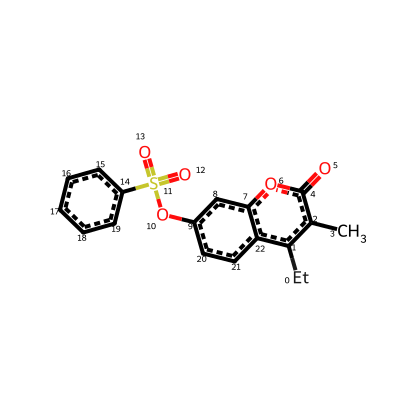 CCc1c(C)c(=O)oc2cc(OS(=O)(=O)c3ccccc3)ccc12